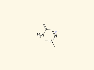 C=C(N)/C=N\N(C)C